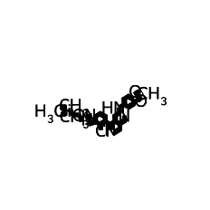 C[Si](C)(C)CCOCn1cc2c(Cl)c(-c3nccc4cnc(Nc5ccc(S(C)(=O)=O)cc5)cc34)ccc2n1